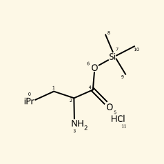 CC(C)CC(N)C(=O)O[Si](C)(C)C.Cl